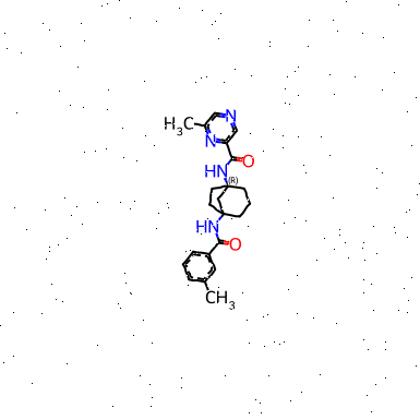 Cc1cccc(C(=O)NC23CCC[C@@](NC(=O)c4cncc(C)n4)(CC2)C3)c1